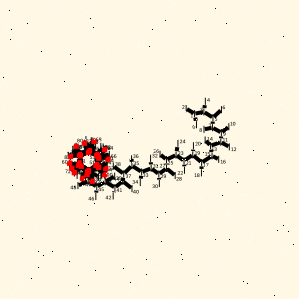 II(I)I(I)I(I)I(I)I(I)I(I)I(I)I(I)I(I)I(I)I(I)I(I)I(I)I(I)I(I)I(I)I(I)I(I)I(I)I(I)I(I)I(I)I(I)I(I)I(I)I(I)I(I)I(I)I(I)I(I)I(I)I(I)I(I)I(I)I(I)I(I)I(I)I(I)I(I)I(I)I(I)I(I)I(I)I(I)I(I)I(I)I(I)I(I)I(I)I(I)I(I)I(I)I(I)I(I)I(I)I(I)I(I)I(I)I(I)I(I)I(I)I(I)I(I)I(I)I(I)I(I)I(I)I